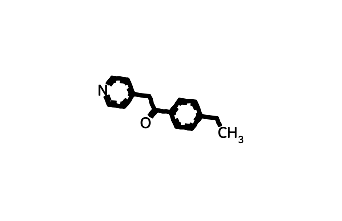 CCc1ccc(C(=O)Cc2ccncc2)cc1